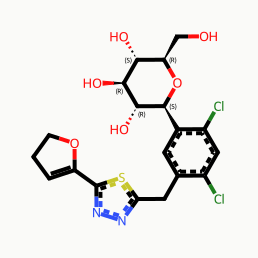 OC[C@H]1O[C@@H](c2cc(Cc3nnc(C4=CCCO4)s3)c(Cl)cc2Cl)[C@H](O)[C@@H](O)[C@@H]1O